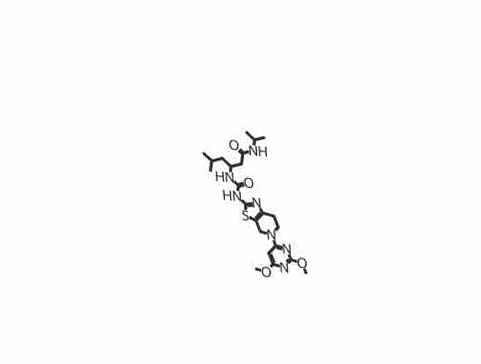 COc1cc(N2CCc3nc(NC(=O)NC(CC(=O)NC(C)C)CC(C)C)sc3C2)nc(OC)n1